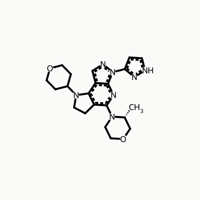 C[C@@H]1COCCN1c1nc2c(cnn2-c2cc[nH]n2)c2c1CCN2C1CCOCC1